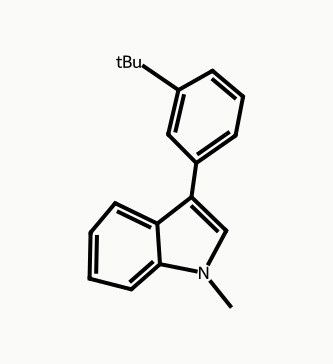 Cn1cc(-c2cccc(C(C)(C)C)c2)c2ccccc21